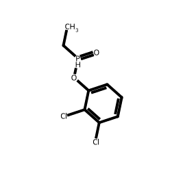 CC[PH](=O)Oc1cccc(Cl)c1Cl